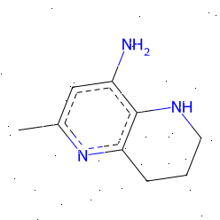 Cc1cc(N)c2c(n1)CCCN2